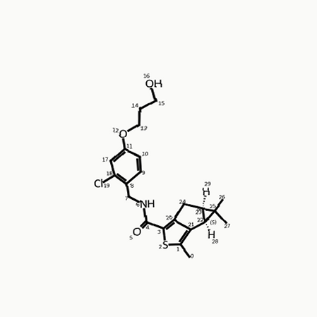 Cc1sc(C(=O)NCc2ccc(OCCCO)cc2Cl)c2c1[C@H]1[C@@H](C2)C1(C)C